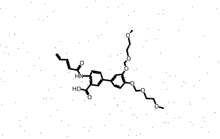 C=CC=CC(=O)Nc1ccc(-c2ccc(OCOCCOC)c(OCOCCOC)c2)cc1C(=O)O